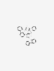 O=P(c1ccccc1)(c1cncc(-n2c3ccccc3c3ccccc32)n1)c1cncc(-n2c3ccccc3c3ccccc32)n1